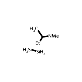 CCC(C)NC.[SiH3][SiH3]